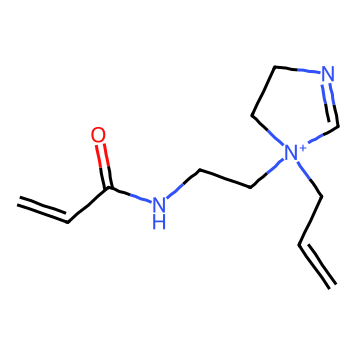 C=CC[N+]1(CCNC(=O)C=C)C=NCC1